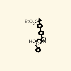 CCOC(=O)C1(c2ccc(-c3ccc(-c4onc(C)c4C[C@@H](O)OCc4ccccc4)cc3)cc2)CC1